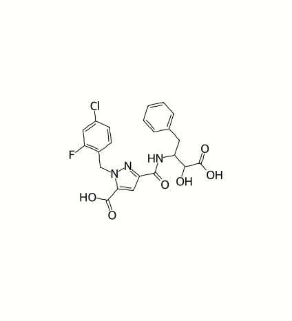 O=C(NC(Cc1ccccc1)C(O)C(=O)O)c1cc(C(=O)O)n(Cc2ccc(Cl)cc2F)n1